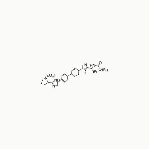 CC(C)C(NC(=O)OC(C)(C)C)c1ncc(-c2ccc(-c3ccc(-c4cnc(C5CCCN5C(=O)O)[nH]4)cc3)cc2)[nH]1